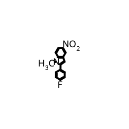 Cn1c(-c2ccc(F)cc2)cc2cc([N+](=O)[O-])ccc21